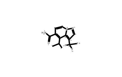 CC(C)c1c(C(N)=O)ccn2ncc(C(F)(F)F)c12